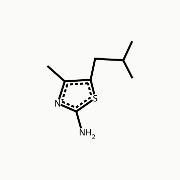 Cc1nc(N)sc1CC(C)C